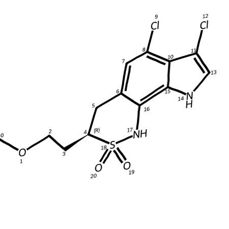 COCC[C@H]1Cc2cc(Cl)c3c(Cl)c[nH]c3c2NS1(=O)=O